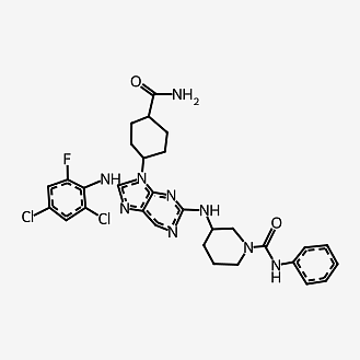 NC(=O)C1CCC(n2c(Nc3c(F)cc(Cl)cc3Cl)nc3cnc(NC4CCCN(C(=O)Nc5ccccc5)C4)nc32)CC1